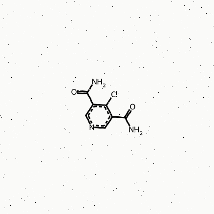 NC(=O)c1cncc(C(N)=O)c1Cl